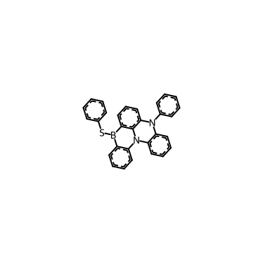 c1ccc(SB2c3ccccc3N3c4ccccc4N(c4ccccc4)c4cccc2c43)cc1